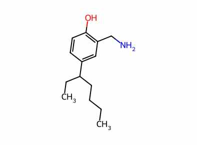 CCCCC(CC)c1ccc(O)c(CN)c1